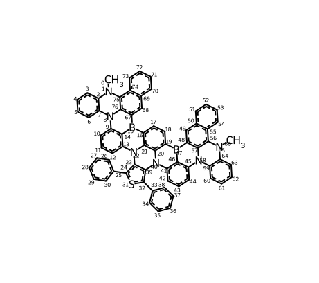 CN1c2ccccc2N2c3cccc4c3B(c3ccc5c6c3N4c3c(-c4ccccc4)sc(-c4ccccc4)c3N6c3cccc4c3B5c3cc5ccccc5c5c3N4c3ccccc3N5C)c3cc4ccccc4c1c32